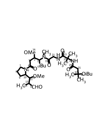 CCC(C)C(C(CC(=O)N1CCCC1C(OC)C(C)C=O)OC)N(C)C(=O)CNC(=O)C(C)(C)NC(=O)CC(C)(C)OCC(C)C